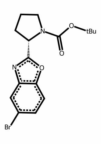 CC(C)(C)OC(=O)N1CCC[C@H]1c1nc2cc(Br)ccc2o1